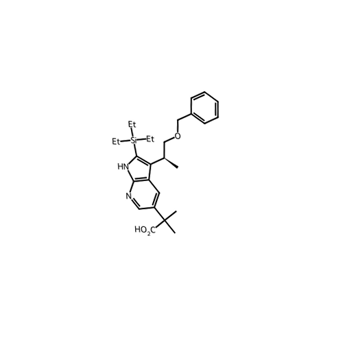 CC[Si](CC)(CC)c1[nH]c2ncc(C(C)(C)C(=O)O)cc2c1[C@H](C)COCc1ccccc1